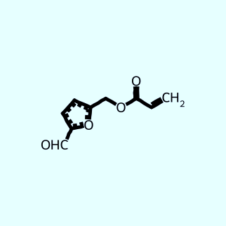 C=CC(=O)OCc1ccc(C=O)o1